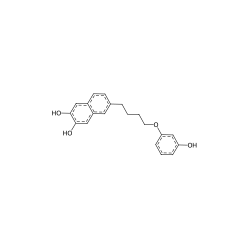 Oc1cccc(OCCCCc2ccc3cc(O)c(O)cc3c2)c1